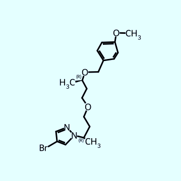 COc1ccc(CO[C@H](C)CCOCC[C@@H](C)n2cc(Br)cn2)cc1